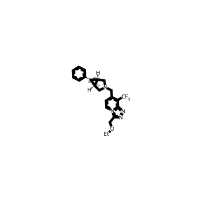 CCOCc1nnc2c(C(F)(F)F)c(CN3C[C@@H]4[C@H](C3)[C@H]4c3ccccc3)ccn12